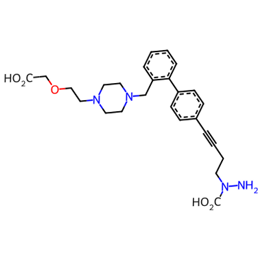 NN(CCC#Cc1ccc(-c2ccccc2CN2CCN(CCOCC(=O)O)CC2)cc1)C(=O)O